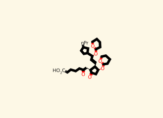 CCCC1CCC([C@@H](/C=C/[C@H]2[C@H](OC3CCCCO3)CC(=O)[C@@H]2CC(=O)CCCCC(=O)O)OC2CCCCO2)C1